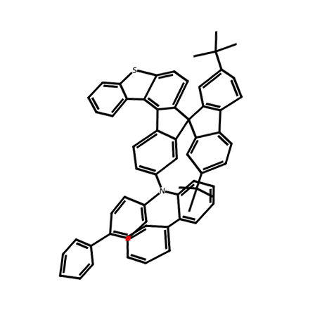 CC(C)(C)c1ccc2c(c1)C1(c3cc(C(C)(C)C)ccc3-2)c2cc(N(c3ccc(-c4ccccc4)cc3)c3ccccc3-c3ccccc3)ccc2-c2c1ccc1sc3ccccc3c21